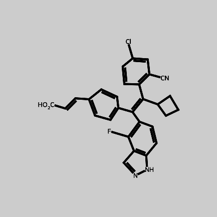 N#Cc1cc(Cl)ccc1/C(=C(\c1ccc(/C=C/C(=O)O)cc1)c1ccc2[nH]ncc2c1F)C1CCC1